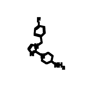 NC1CCN(c2nccn2Cc2ccc(F)cc2)CC1